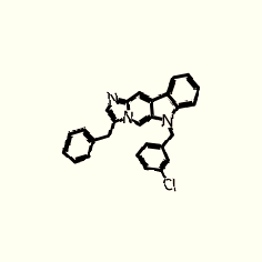 Clc1cccc(Cn2c3ccccc3c3cc4ncc(Cc5ccccc5)n4cc32)c1